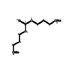 COCCCOB([O])OCCCOC